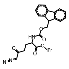 CC(C)OC(=O)C(CCC(=O)C=[N+]=[N-])NC(=O)OCC1c2ccccc2-c2ccccc21